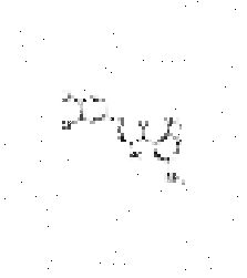 CC(=O)C(/N=N/c1ccc(Cl)c(Cl)c1)C(=O)c1cc(N)ccc1N